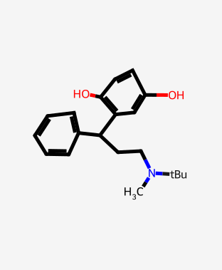 CN(CCC(c1ccccc1)c1cc(O)ccc1O)C(C)(C)C